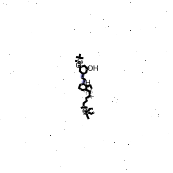 CC[Si](CC)(CC)OC(C)(C)CCC[C@@H](C)[C@H]1CC[C@H]2/C(=C/C=C3/CC(O[Si](C)(C)C(C)(C)C)C[C@@H](O)C3)CCC[C@]12C